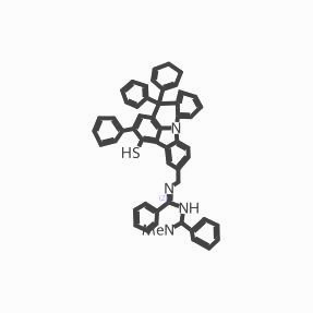 CNC(N/C(=N\Cc1ccc2c(c1)c1c(S)c(-c3ccccc3)cc3c1n2-c1ccccc1C3(C1=CCCC=C1)c1ccccc1)c1ccccc1)c1ccccc1